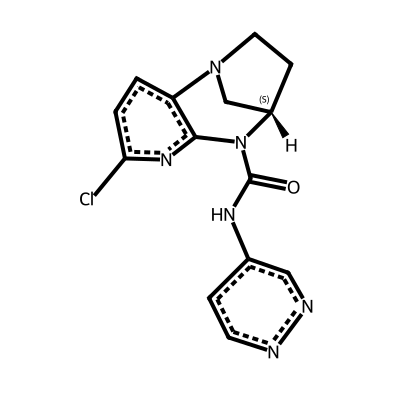 O=C(Nc1ccnnc1)N1c2nc(Cl)ccc2N2CC[C@H]1C2